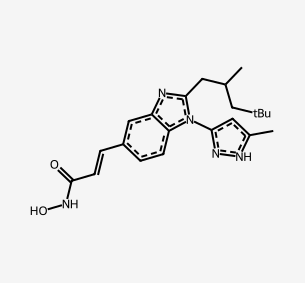 Cc1cc(-n2c(CC(C)CC(C)(C)C)nc3cc(/C=C/C(=O)NO)ccc32)n[nH]1